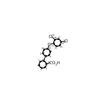 O=C(O)c1ccccc1-c1ccc(Oc2ccc(Cl)cc2Cl)cc1